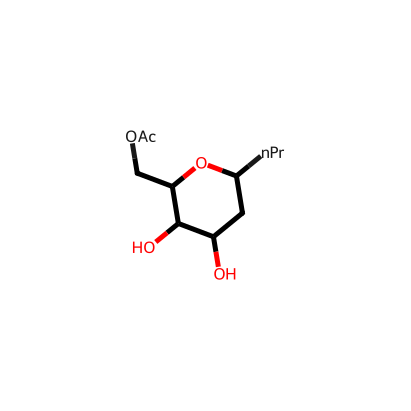 CCCC1CC(O)C(O)C(COC(C)=O)O1